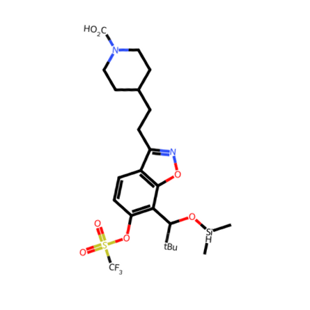 C[SiH](C)OC(c1c(OS(=O)(=O)C(F)(F)F)ccc2c(CCC3CCN(C(=O)O)CC3)noc12)C(C)(C)C